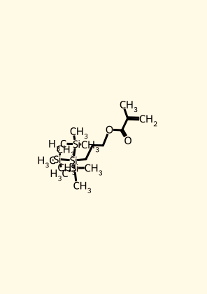 C=C(C)C(=O)OCCC[Si]([Si](C)(C)C)([Si](C)(C)C)[Si](C)(C)C